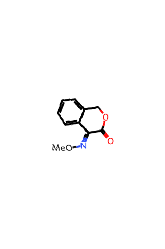 CO/N=C1/C(=O)OCc2ccccc21